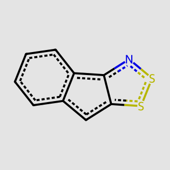 c1ccc2c3nssc-3cc2c1